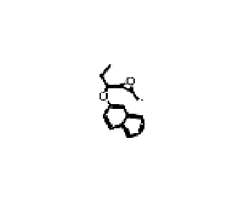 [CH2]C1OC1C(CC)Oc1ccc2ccccc2c1